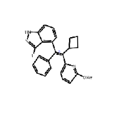 COc1cccc(/C(=C(\c2[c]cccc2)c2cccc3[nH]nc(F)c23)C2CCC2)n1